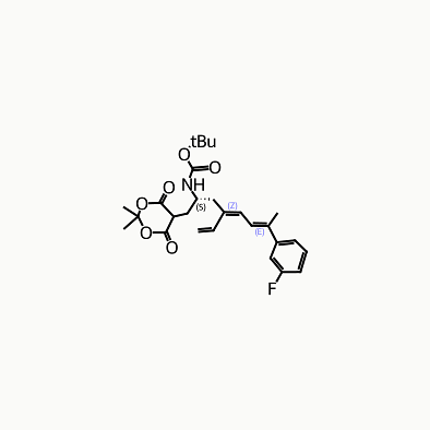 C=C/C(=C\C=C(/C)c1cccc(F)c1)C[C@H](CC1C(=O)OC(C)(C)OC1=O)NC(=O)OC(C)(C)C